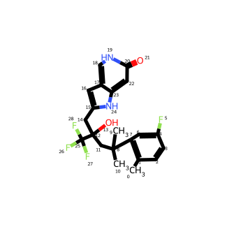 Cc1ccc(F)cc1C(C)(C)CC(O)(Cc1cc2c[nH]c(=O)cc2[nH]1)C(F)(F)F